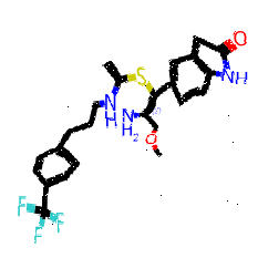 C=C(NCCCc1ccc(C(F)(F)F)cc1)S/C(=C(\N)COC)c1ccc2c(c1)CC(=O)N2